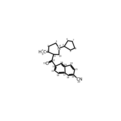 CC1CCN(C2CCCC2)CC1C(=O)c1ccc2cc(C#N)ccc2c1